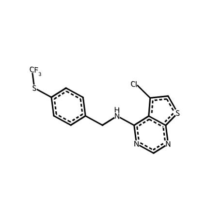 FC(F)(F)Sc1ccc(CNc2ncnc3scc(Cl)c23)cc1